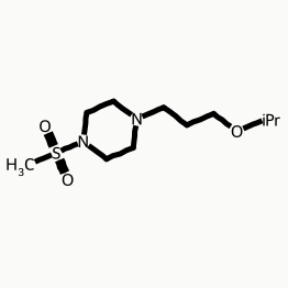 CC(C)OCCCN1CCN(S(C)(=O)=O)CC1